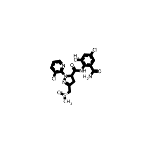 Cc1cc(Cl)cc(C(N)=O)c1NC(=O)C1CC(C[S+](C)[O-])=NN1c1ncccc1Cl